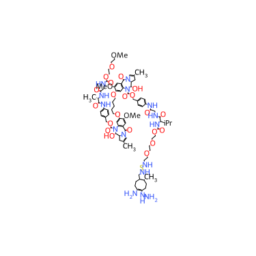 COCCOCCOC(=O)NCC(=O)N[C@@H](C)C(=O)Nc1ccc(COC(=O)N2c3cc(OCCCCCOc4cc5c(cc4OC)C(=O)N4C=C(C)CC4C(O)N5C(=O)OCc4ccc(NC(=O)CNC(=O)C(NC(=O)OCCOCCOCCNSNCC5CC/C(N)=C(/NN)CCC5C)C(C)C)cc4)c(OC)cc3C(=O)N3C=C(C)CC3C2O)cc1